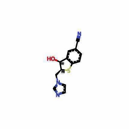 N#Cc1ccc2c(c1)[C@H](O)[C@H](Cn1ccnc1)S2